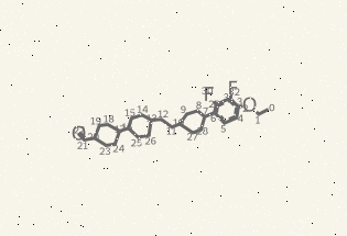 CCOc1ccc(C2CCC(CCC3CCC(C4CCC(C=O)CC4)CC3)CC2)c(F)c1F